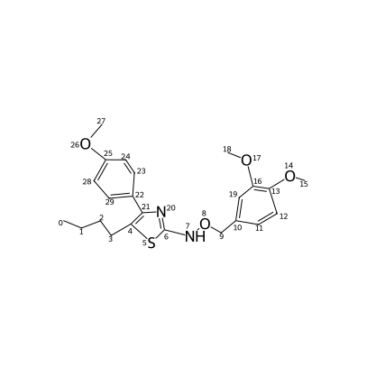 CCCCc1sc(NOCc2ccc(OC)c(OC)c2)nc1-c1ccc(OC)cc1